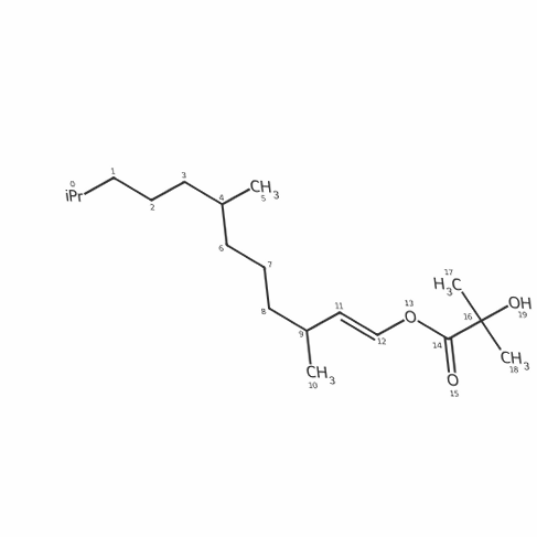 CC(C)CCCC(C)CCCC(C)C=COC(=O)C(C)(C)O